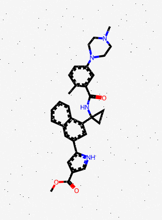 COC(=O)c1c[nH]c(-c2cc(C3(NC(=O)c4cc(N5CCN(C)CC5)ccc4C)CC3)c3ccccc3c2)c1